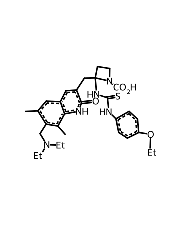 CCOc1ccc(NC(=S)NC2(Cc3cc4cc(C)c(CN(CC)CC)c(C)c4[nH]c3=O)CCN2C(=O)O)cc1